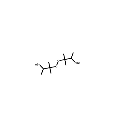 CCCCC(C)C(C)(C)OOC(C)(C)C(C)CCCC